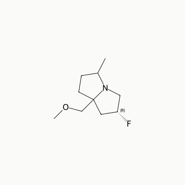 COCC12CCC(C)N1C[C@H](F)C2